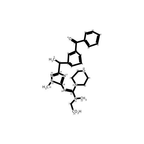 CC(c1cccc(C(=O)c2ccccc2)c1)c1nc(N=C(N(C)CC(=O)O)N2CCOCC2)n(C)n1